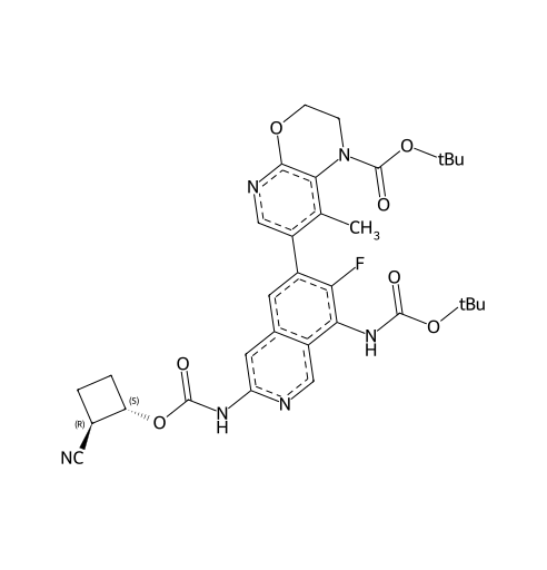 Cc1c(-c2cc3cc(NC(=O)O[C@H]4CC[C@@H]4C#N)ncc3c(NC(=O)OC(C)(C)C)c2F)cnc2c1N(C(=O)OC(C)(C)C)CCO2